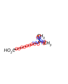 CS(=O)(=O)c1ncc(-c2cc(C(=O)NCCOCCOCCOCCOCCOCCOCCOCCOCCC(=O)O)cc(-c3cnc(S(C)(=O)=O)nc3)n2)cn1